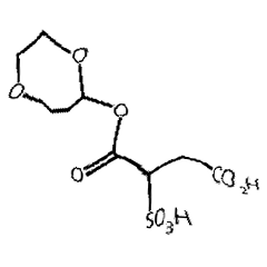 O=C(O)CC(C(=O)OC1COCCO1)S(=O)(=O)O